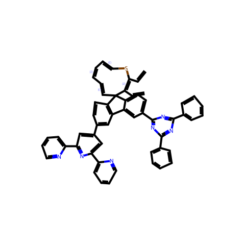 C=C/C1=C(\C=C)C2(/C=C/C=C\C=C\S1)c1ccc(-c3cc(-c4ccccn4)nc(-c4ccccn4)c3)cc1-c1cc(-c3nc(-c4ccccc4)nc(-c4ccccc4)n3)ccc12